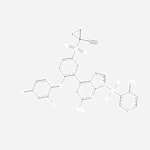 Cc1cc(-c2cc(S(=O)(=O)C3(C#N)CC3)ccc2Oc2ccc(F)cc2F)c2ccn(S(=O)(=O)c3ccccc3C)c2n1